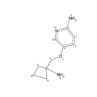 Nc1ccc(OCC2(N)CCC2)cn1